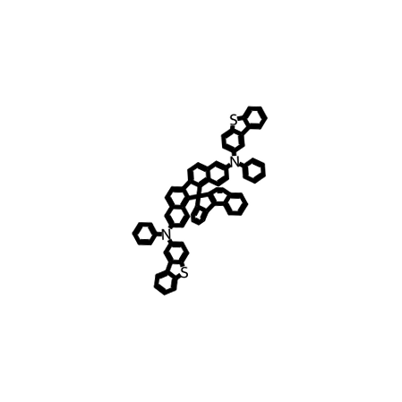 c1ccc(N(c2ccc3c4c(ccc3c2)-c2ccc3cc(N(c5ccccc5)c5ccc6sc7ccccc7c6c5)ccc3c2C42c3ccccc3-c3c2ccc2ccccc32)c2ccc3sc4ccccc4c3c2)cc1